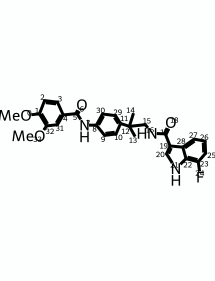 COc1ccc(C(=O)Nc2ccc(C(C)(C)CNC(=O)c3c[nH]c4c(F)cccc34)cc2)cc1OC